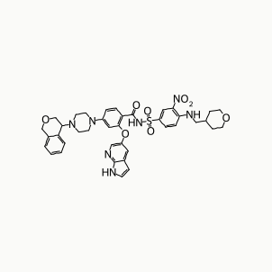 O=C(NS(=O)(=O)c1ccc(NCC2CCOCC2)c([N+](=O)[O-])c1)c1ccc(N2CCN(C3COCc4ccccc43)CC2)cc1Oc1cnc2[nH]ccc2c1